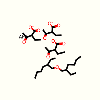 CCC(C(C)=O)C(=O)[O-].CCC(C(C)=O)C(=O)[O-].CCC(C(C)=O)C(=O)[O-].CCCCC(CC)COCC(CC)CCCC.[Al+3]